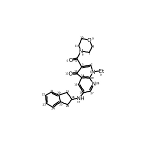 CCn1cc(C(=O)N2CCOCC2)c(=O)c2cc(NC3Cc4ccccc4C3)cnc21